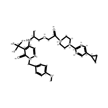 COc1ccc(Cn2ncc(NC(C)COCC(=O)N3CCN(c4ncc(C5CC5)cn4)CC3)c(C(F)(F)F)c2=O)cc1